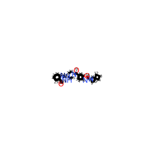 O=C(c1ccc2nc(N3CCC4(CCC4)C3)oc2c1)N1CCN(c2nc3ccccc3c(=O)[nH]2)CC1